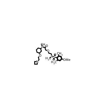 COc1cc(C)c(S(=O)(=O)N(C)CCOCC(=O)N(C)C2CCC[C@H](OCCN3CCC3)C2)c(C)c1